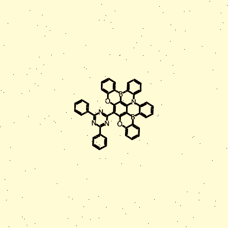 c1ccc(-c2nc(-c3ccccc3)nc(-c3c4c5c6c7c3Oc3ccccc3B7c3ccccc3N6c3ccccc3B5c3ccccc3O4)n2)cc1